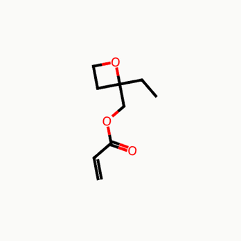 C=CC(=O)OCC1(CC)CCO1